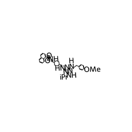 COc1ccc(CCNc2nc(NCC3CCC(CNS(=O)(=O)c4cccc5ccccc45)CC3)nc(NC(C)C)n2)cc1